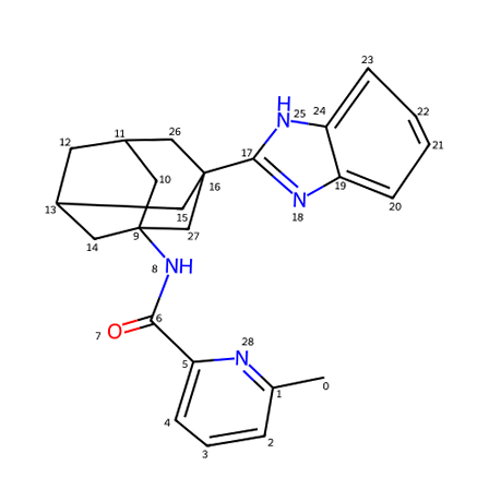 Cc1cccc(C(=O)NC23CC4CC(C2)CC(c2nc5ccccc5[nH]2)(C4)C3)n1